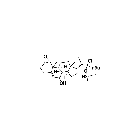 CCCCC(Cl)(O[SiH](C)C)C(C)[C@H]1CC[C@H]2[C@@H]3C(O)C=C4CCC5OC5[C@]4(C)[C@H]3CC[C@]12C